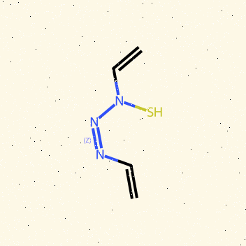 C=C/N=N\N(S)C=C